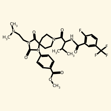 COC(=O)c1ccc(N2C(=O)N(CCN(C)C)C(=O)C23CCN(C(=O)C(NC(=O)c2cc(C(F)(F)F)ccc2F)C(C)C)CC3)cc1